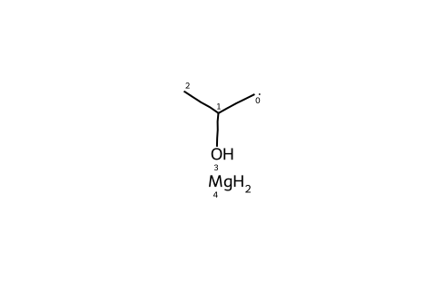 [CH2]C(C)O.[MgH2]